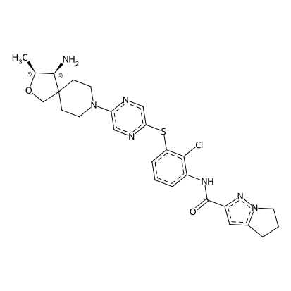 C[C@@H]1OCC2(CCN(c3cnc(Sc4cccc(NC(=O)c5cc6n(n5)CCC6)c4Cl)cn3)CC2)[C@@H]1N